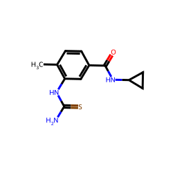 Cc1ccc(C(=O)NC2CC2)cc1NC(N)=S